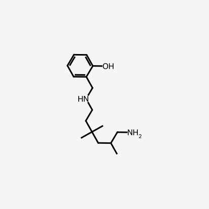 CC(CN)CC(C)(C)CCNCc1ccccc1O